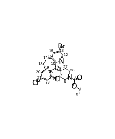 CCOC(=O)N1CCC(=C2c3ncc(Br)cc3CCc3cc(Cl)cc(Cl)c32)CC1